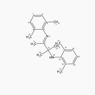 C/C(=N\c1c(C)cccc1C)C(C)(C)Nc1c(C)cccc1C